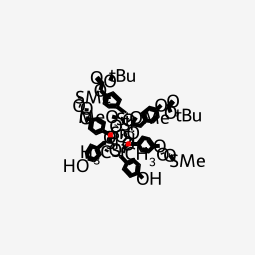 CO[Si]1(Cc2ccc(OC(=O)OC(C)(C)C)cc2)O[Si](Cc2ccc(OC(=O)OC(C)(C)C)cc2)(OC)O[Si]2(Cc3ccc(OOOSC)cc3)O[Si](C)(Cc3ccc(O)cc3)O[Si](C)(Cc3ccc(O)cc3)O[Si](Cc3ccc(OOOSC)cc3)(O1)O2